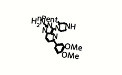 CCCCCC1CNCCN1c1nc(N)nc2ccc(-c3ccc(OC)c(OC)c3)nc12